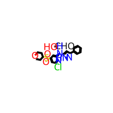 O=CO.O=S(=O)(c1cc(Cl)nc(Nc2cc(-c3ccccc3)n[nH]2)c1)C1CCOCC1